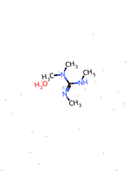 C/N=C(\NC)N(C)C.O